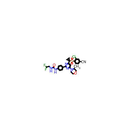 C[C@H]1COCCN1c1cc(C2(S(=O)(=O)c3ccc(C#N)cc3Cl)CC2)nc(-c2ccc(NC(=O)NCC(F)F)cc2)n1